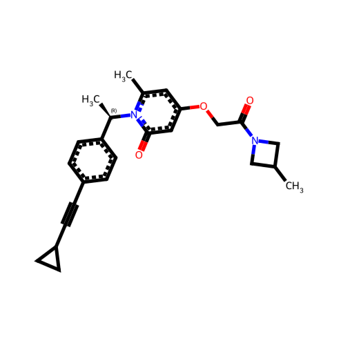 Cc1cc(OCC(=O)N2CC(C)C2)cc(=O)n1[C@H](C)c1ccc(C#CC2CC2)cc1